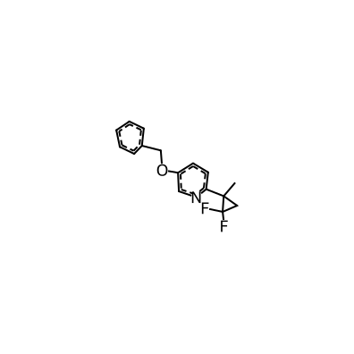 CC1(c2ccc(OCc3ccccc3)cn2)CC1(F)F